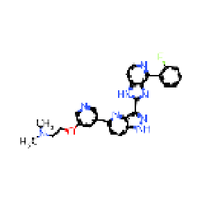 CN(C)CCOc1cncc(-c2ccc3[nH]nc(-c4nc5c(-c6ccccc6F)nccc5[nH]4)c3n2)c1